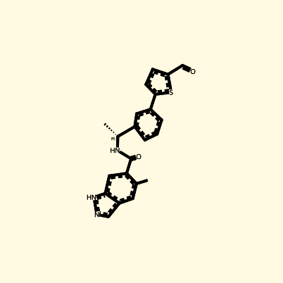 Cc1cc2cn[nH]c2cc1C(=O)N[C@H](C)c1cccc(-c2ccc(C=O)s2)c1